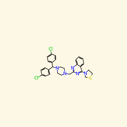 Clc1ccc(C(c2ccc(Cl)cc2)N2CCN(Cc3nc(N4CCSC4)c4ccccc4n3)CC2)cc1